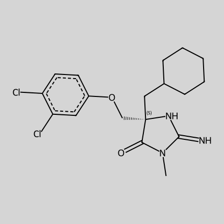 CN1C(=N)N[C@](COc2ccc(Cl)c(Cl)c2)(CC2CCCCC2)C1=O